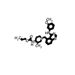 C=CCOC(=O)N[C@@H]1CCN(Cc2cccc3ncnc(Nc4cccc(OC)c4)c23)C[C@H]1C